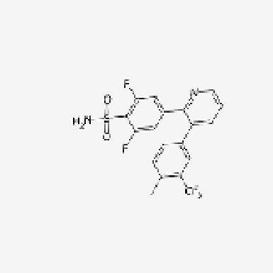 Cc1ccc(-c2cccnc2-c2cc(F)c(S(N)(=O)=O)c(F)c2)cc1C(F)(F)F